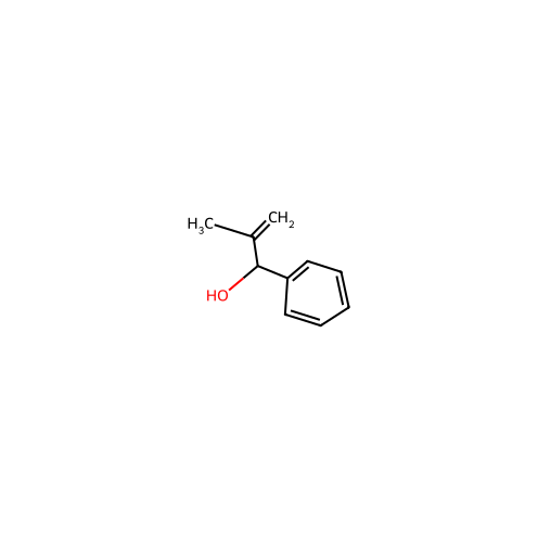 C=C(C)C(O)c1ccccc1